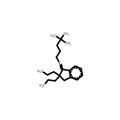 CCCC1(CCC)Cc2ccccc2/C1=B/CCCC(C)(C)C